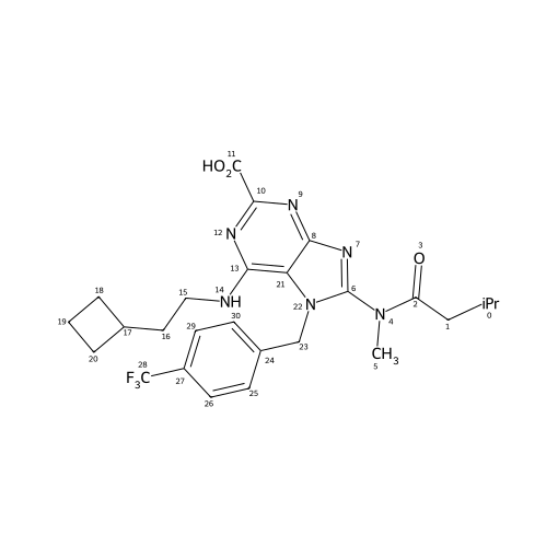 CC(C)CC(=O)N(C)c1nc2nc(C(=O)O)nc(NCCC3CCC3)c2n1Cc1ccc(C(F)(F)F)cc1